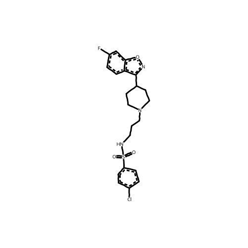 O=S(=O)(NCCCN1CCC(c2noc3cc(F)ccc23)CC1)c1ccc(Cl)cc1